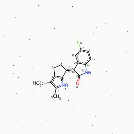 Cc1[nH]c2c(c1C(=O)O)CC/C2=C1/C(=O)Nc2ccc(F)cc21